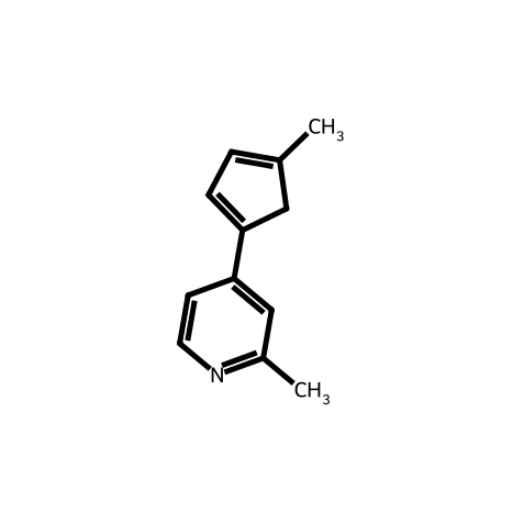 CC1=CC=C(c2ccnc(C)c2)C1